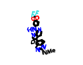 CNc1ncc2cc(-c3c(C)cnc4c(Nc5ccc6c(c5)OC(F)(F)O6)nccc34)ccc2n1